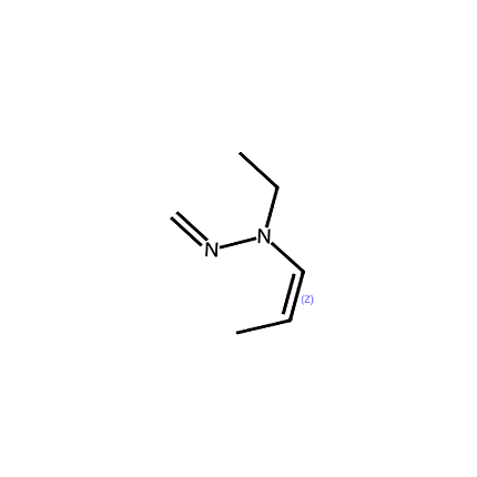 C=NN(/C=C\C)CC